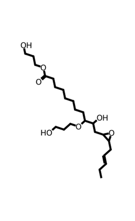 CC/C=C/CC1OC1CC(O)C(CCCCCCCC(=O)OCCCO)OCCCO